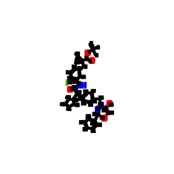 CC(C)(C)OC(=O)C1(Cc2ccc(F)c(NC(=O)C(c3ccc(CN4N=C(c5ccccc5)OCC4=O)cc3)C3CCCC3)c2)CC1